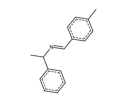 Cc1ccc(C=NC(C)c2ccccc2)cc1